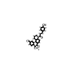 CN(C(=O)c1ccc2c(c1)CCCN2C(=O)CCc1ccc(C#N)cc1)c1ccc(Cl)cc1